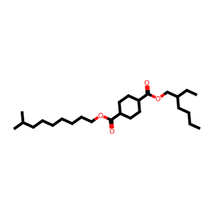 CCCCC(CC)COC(=O)C1CCC(C(=O)OCCCCCCCC(C)C)CC1